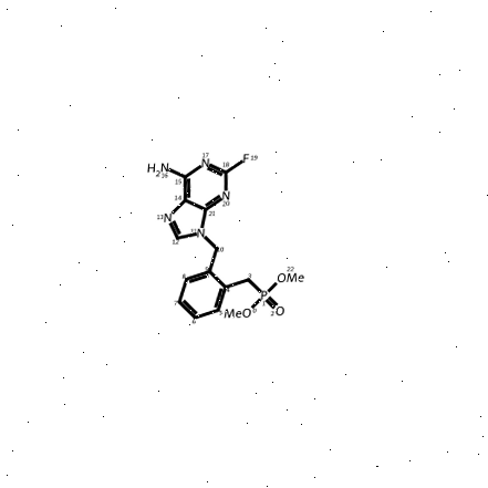 COP(=O)(Cc1ccccc1Cn1cnc2c(N)nc(F)nc21)OC